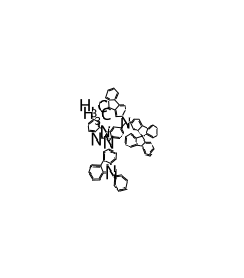 CC1(C)c2ccccc2-c2ccc(N(c3ccc4c(c3)C3(c5ccccc5-c5ccccc53)c3ccccc3-4)c3ccc4c(c3)n3c5ccccc5nc3n4-c3ccc4c(c3)c3ccccc3n4-c3ccccc3)cc21